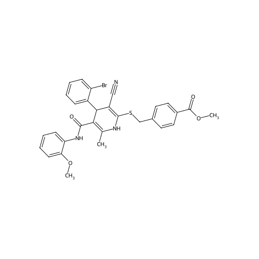 COC(=O)c1ccc(CSC2=C(C#N)C(c3ccccc3Br)C(C(=O)Nc3ccccc3OC)=C(C)N2)cc1